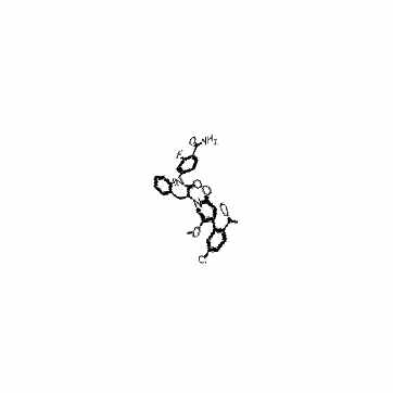 COc1cn(C(Cc2ccccc2)C(=O)Nc2ccc(C(N)=O)c(F)c2)c(=O)cc1-c1cc(Cl)ccc1C(C)=O